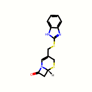 O=C1C[C@H]2SCC(CSc3nc4ccccc4[nH]3)=CN12